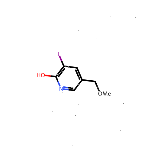 COCc1cnc(O)c(I)c1